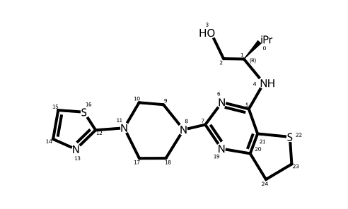 CC(C)[C@H](CO)Nc1nc(N2CCN(c3nccs3)CC2)nc2c1SCC2